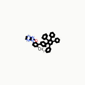 Cc1ccc2c(oc3nc4nccnc4n32)c1-c1ccc(-c2c(-c3ccccc3)cc(-c3ccccc3)c(-c3ccccc3)c2-c2ccccc2)cc1